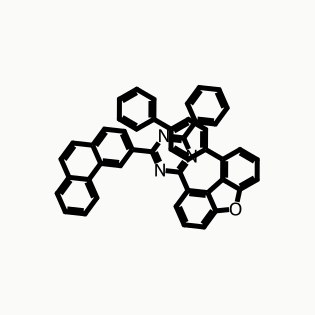 c1ccc(-c2ccc(-c3cccc4oc5cccc(-c6nc(-c7ccccc7)nc(-c7ccc8ccc9ccccc9c8c7)n6)c5c34)cc2)cc1